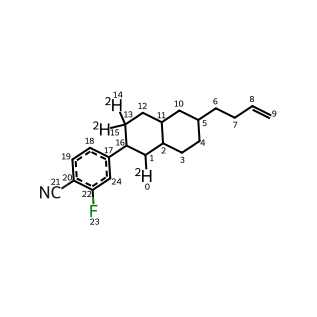 [2H]C1C2CCC(CCC=C)CC2CC([2H])([2H])C1c1ccc(C#N)c(F)c1